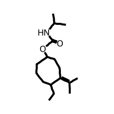 CCC1CCCC(OC(=O)NC(C)C)CCC1=C(C)C